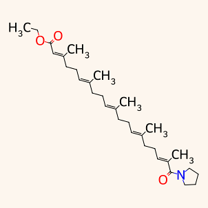 CCOC(=O)/C=C(\C)CC/C=C(\C)CC/C=C(\C)CC/C=C(\C)CC/C=C(\C)C(=O)N1CCCC1